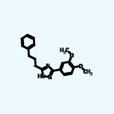 COc1ccc(-c2n[nH]c([CH]CCc3ccccc3)n2)cc1OC